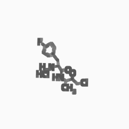 CC(NC(=O)C(N)Cc1ccc(F)cc1)C(=O)CCl.Cl